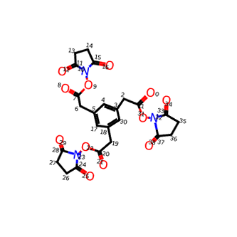 O=C(Cc1cc(CC(=O)ON2C(=O)CCC2=O)cc(CC(=O)ON2C(=O)CCC2=O)c1)ON1C(=O)CCC1=O